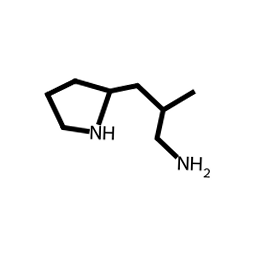 CC(CN)CC1CCCN1